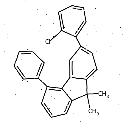 CC1(C)c2ccc(-c3ccccc3Cl)cc2-c2c(-c3ccccc3)cccc21